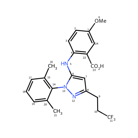 COc1ccc(Nc2cc(CCC(F)(F)F)nn2-c2c(C)cccc2C)c(C(=O)O)c1